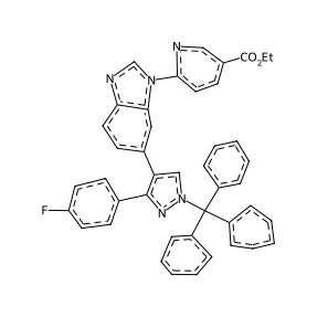 CCOC(=O)c1ccc(-n2cnc3ccc(-c4cn(C(c5ccccc5)(c5ccccc5)c5ccccc5)nc4-c4ccc(F)cc4)cc32)nc1